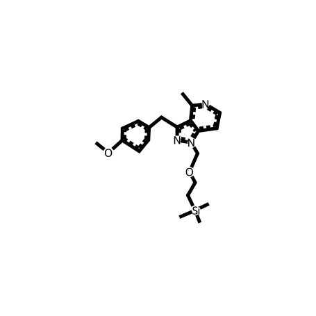 COc1ccc(Cc2nn(COCC[Si](C)(C)C)c3ccnc(C)c23)cc1